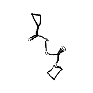 O=C(NOC(=O)N1CCC1)C1CC1